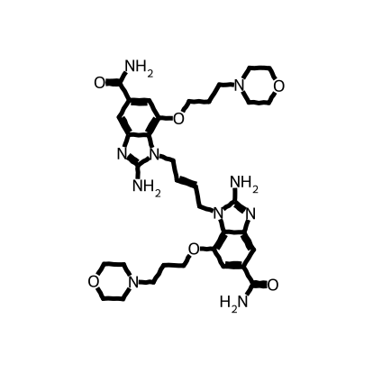 NC(=O)c1cc(OCCCN2CCOCC2)c2c(c1)nc(N)n2C/C=C/Cn1c(N)nc2cc(C(N)=O)cc(OCCCN3CCOCC3)c21